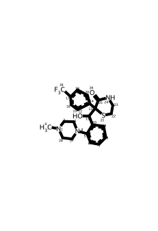 CN1CCN(c2ccccc2C(O)C2(c3ccc(C(F)(F)F)cc3)SCCNC2=O)CC1